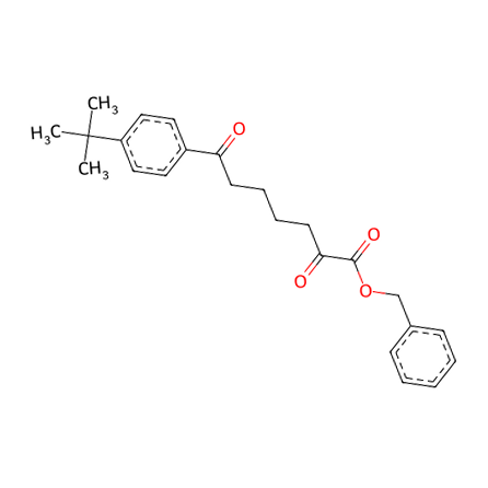 CC(C)(C)c1ccc(C(=O)CCCCC(=O)C(=O)OCc2ccccc2)cc1